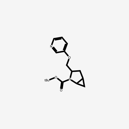 CC(C)(C)OC(=O)N1C(COc2cccnc2)CC2CC21